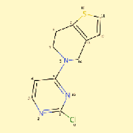 Clc1nccc(N2CCc3sccc3C2)n1